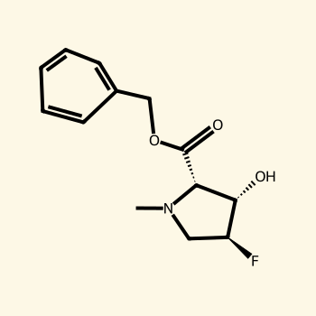 CN1C[C@H](F)[C@@H](O)[C@H]1C(=O)OCc1ccccc1